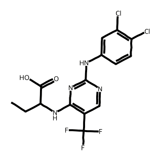 CCC(Nc1nc(Nc2ccc(Cl)c(Cl)c2)ncc1C(F)(F)F)C(=O)O